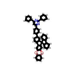 c1ccc(-c2cc(-c3ccc(-c4ccc5c(c4)C4(c6ccccc6-c6ccccc64)c4cc6c(cc4-5)Oc4ccccc4O6)cc3)nc(-c3ccccc3)n2)cc1